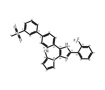 CS(=O)(=O)c1cccc(-c2ccc(-c3[nH]c(-c4ccccc4C(F)(F)F)nc3-n3cccc3C#N)cc2)c1